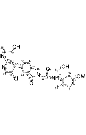 COc1ccc(F)c([C@@H](CO)NC(=O)CN2Cc3ccc(-c4nc(N[C@@H](C)CO)ncc4Cl)cc3C2=O)c1